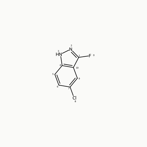 Fc1n[nH]c2ccc(Cl)cc12